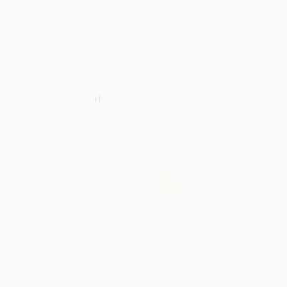 Cc1cc(C(C)(C)C)cc(C)c1[O]